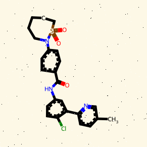 Cc1ccc(-c2cc(NC(=O)c3ccc(N4CCCCCS4(=O)=O)cc3)ccc2Cl)nc1